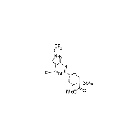 COC(=O)C1(OC)CCC(c2nc(Cl)c3cn(CC(F)(F)F)nc3n2)CC1